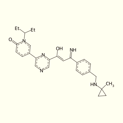 CCC(CC)n1cc(-c2cncc(/C(O)=C/C(=N)c3ccc(CNC4(C)CC4)cc3)n2)ccc1=O